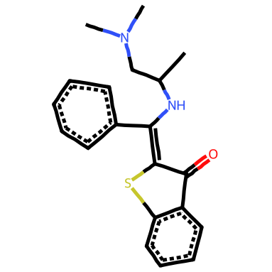 CC(CN(C)C)NC(=C1Sc2ccccc2C1=O)c1ccccc1